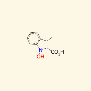 CC1c2ccccc2N(O)C1C(=O)O